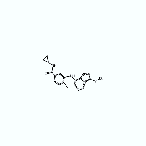 CCSc1ncc2c(Nc3cc(C(=O)NC4CC4)ccc3C)nccn12